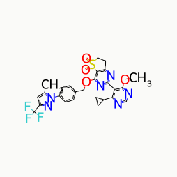 COc1ncnc(C2CC2)c1-c1nc2c(c(OCc3ccc(-n4nc(C(F)(F)F)cc4C)cc3)n1)S(=O)(=O)CC2